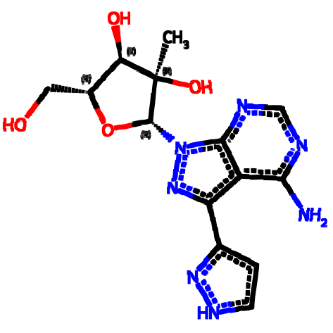 C[C@@]1(O)[C@H](O)[C@@H](CO)O[C@H]1n1nc(-c2cc[nH]n2)c2c(N)ncnc21